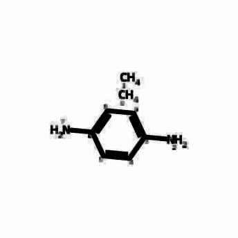 C.C.Nc1ccc(N)cc1